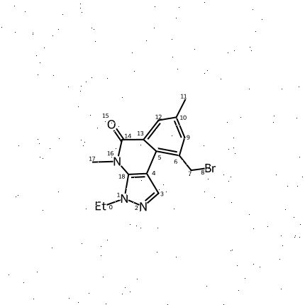 CCn1ncc2c3c(CBr)cc(C)cc3c(=O)n(C)c21